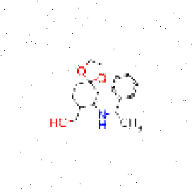 CC(NC1CC2(CCC1CO)OCCO2)c1ccccc1